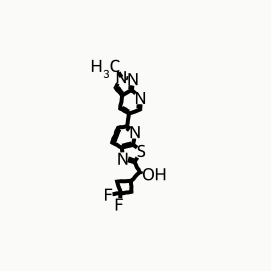 Cn1cc2cc(-c3ccc4nc([C@@H](O)C5CC(F)(F)C5)sc4n3)cnc2n1